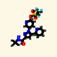 CC(C)(C)NC(=O)c1cc(-c2ccccn2)n(-c2ccc(OS(=O)(=O)C(F)(F)F)nc2)n1